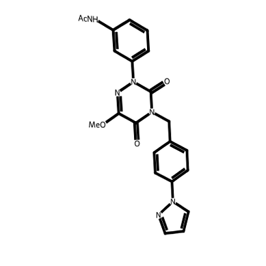 COc1nn(-c2cccc(NC(C)=O)c2)c(=O)n(Cc2ccc(-n3cccn3)cc2)c1=O